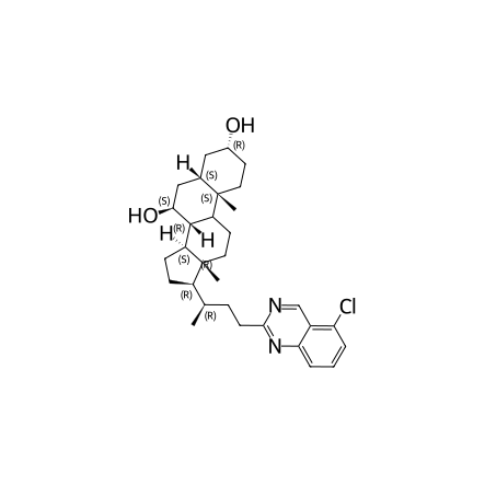 C[C@H](CCc1ncc2c(Cl)cccc2n1)[C@H]1CC[C@H]2[C@H]3C(CC[C@]12C)[C@@]1(C)CC[C@@H](O)C[C@H]1C[C@@H]3O